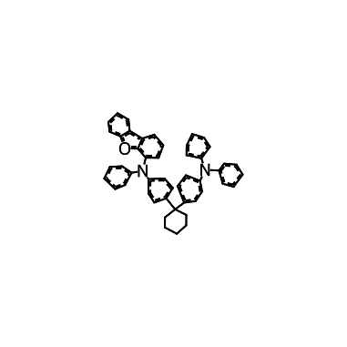 c1ccc(N(c2ccccc2)c2ccc(C3(c4ccc(N(c5ccccc5)c5cccc6c5oc5ccccc56)cc4)CCCCC3)cc2)cc1